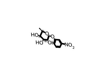 C[C@H]1O[C@@H](Oc2cccc([N+](=O)[O-])c2)[C@H](O)[C@@H](O)[C@H]1O